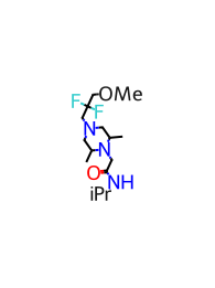 COCC(F)(F)CN1CC(C)N(CC(=O)NC(C)C)C(C)C1